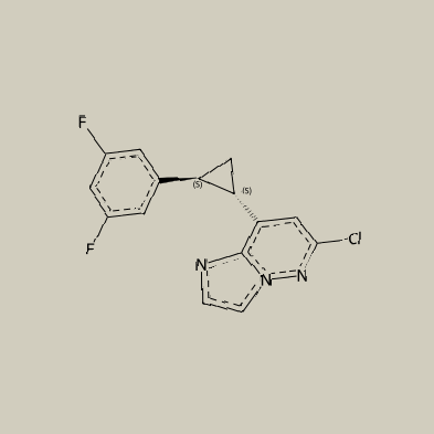 Fc1cc(F)cc([C@H]2C[C@@H]2c2cc(Cl)nn3ccnc23)c1